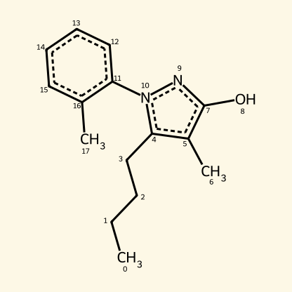 CCCCc1c(C)c(O)nn1-c1ccccc1C